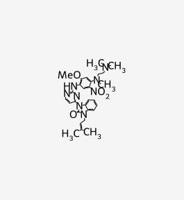 COc1cc(N(C)CCN(C)C)c([N+](=O)[O-])cc1Nc1nccc(-n2c(=O)n(CC=C(C)C)c3ccccc32)n1